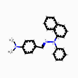 CN(C)c1ccc(/C=N/N(c2ccccc2)c2cccc3ccccc23)cc1